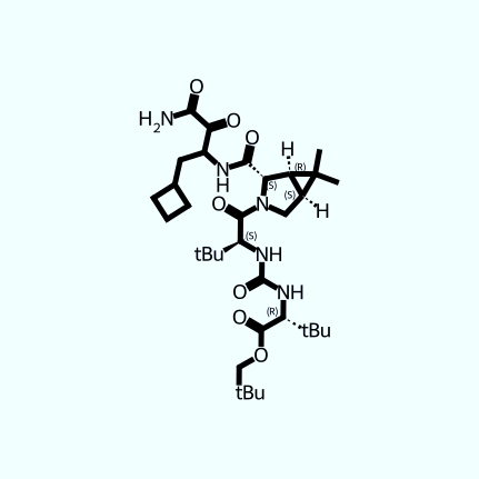 CC(C)(C)COC(=O)[C@H](NC(=O)N[C@H](C(=O)N1C[C@H]2[C@@H]([C@H]1C(=O)NC(CC1CCC1)C(=O)C(N)=O)C2(C)C)C(C)(C)C)C(C)(C)C